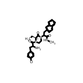 CC[C@H]1C(=O)N(C(Cc2ccc3ccccc3c2)C(=O)NC)CCN1C(=O)C(N)Cc1ccc(Cl)cc1